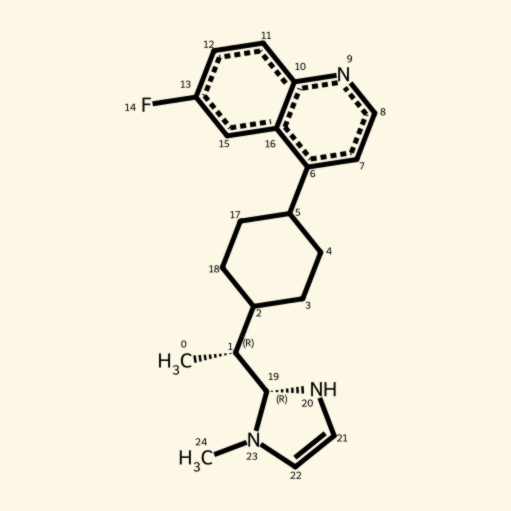 C[C@H](C1CCC(c2ccnc3ccc(F)cc23)CC1)[C@@H]1NC=CN1C